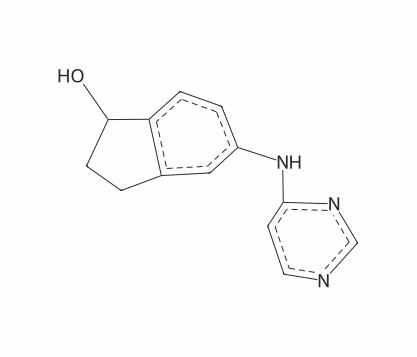 OC1CCc2cc(Nc3ccncn3)ccc21